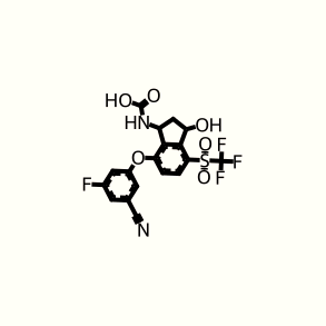 N#Cc1cc(F)cc(Oc2ccc(S(=O)(=O)C(F)(F)F)c3c2C(NC(=O)O)CC3O)c1